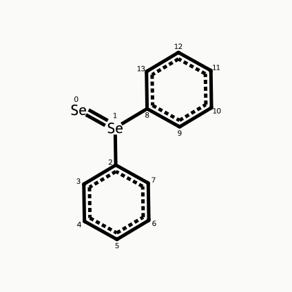 [Se]=[Se](c1ccccc1)c1ccccc1